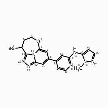 CCC(C)C1CCOc2cc(-c3ccnc(Nc4ccnn4C)c3)cc3nnc1n23